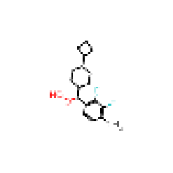 Cc1ccc(C(OO)C2CCC(C3CCC3)CC2)c(F)c1F